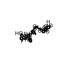 C#Cc1c(F)ccc2cc(O)cc(-c3ncc4c(N5CC6CCC(C5)N6)nc(OCC56CCC(COC(=O)N(C)CCC(=O)Nc7cccc8c7C(=O)N(C7CCC(=O)NC7=O)C8=O)N5CC(=C)C6)nc4c3F)c12